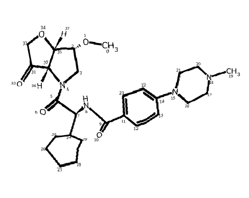 CO[C@@H]1CN(C(=O)[C@@H](NC(=O)c2ccc(N3CCN(C)CC3)cc2)C2CCCCC2)[C@@H]2C(=O)CO[C@@H]21